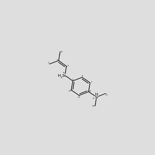 CC(C)=C[SiH2]c1ccc([SiH](C)C)cc1